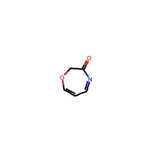 O=C1[CH]OC=CC=N1